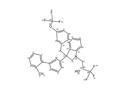 Cc1ccccc1-c1cccc(C2(Cc3cccc(OC(F)(F)F)c3)CN(C[C@@H](O)C(F)(F)F)c3ccccc32)c1